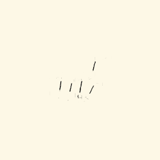 CCC(C)C.CCCC.CCCCC.CCCCCC.CCCCCCC